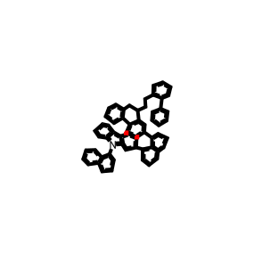 c1ccc(-c2ccccc2CCC2Cc3ccccc3-c3ccc(-c4cccc5cccc(-c6ccc7c8ccccc8n(-c8cccc9ccccc89)c7c6)c45)cc32)cc1